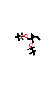 C=CC1CC1(CO[Si](C)(C)C(C)(C)C)CO[Si](C)(C)C(C)(C)C